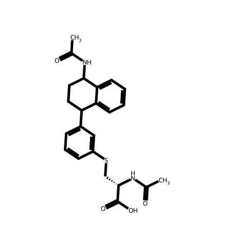 CC(=O)NC1CCC(c2cccc(SC[C@H](NC(C)=O)C(=O)O)c2)c2ccccc21